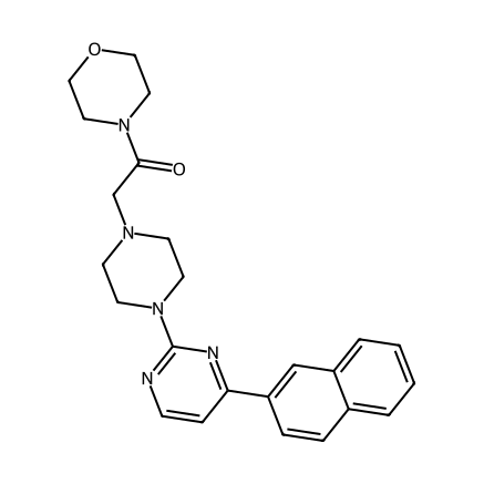 O=C(CN1CCN(c2nccc(-c3ccc4ccccc4c3)n2)CC1)N1CCOCC1